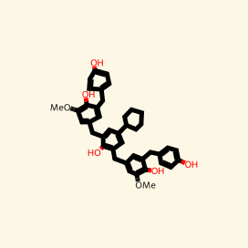 COc1cc(Cc2cc(C3CCCCC3)cc(Cc3cc(Cc4ccc(O)cc4)c(O)c(OC)c3)c2O)cc(Cc2ccc(O)cc2)c1O